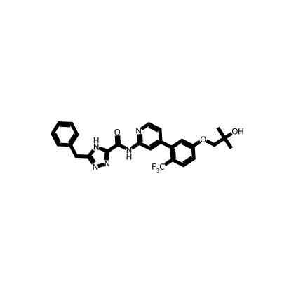 CC(C)(O)COc1ccc(C(F)(F)F)c(-c2ccnc(NC(=O)c3nnc(Cc4ccccc4)[nH]3)c2)c1